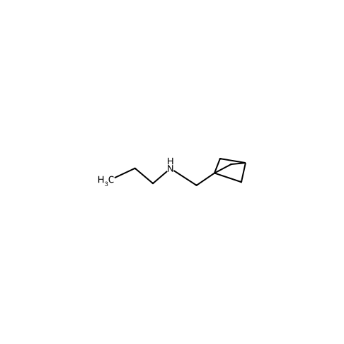 CCCNCC12CC(C1)C2